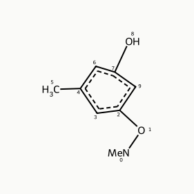 CNOc1cc(C)cc(O)c1